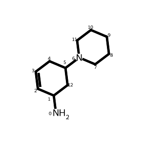 NC1C=CCC(N2CCCCC2)C1